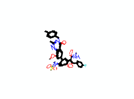 CNC(=O)c1c(-c2ccc(F)cc2)oc2cc(N(C)S(C)(=O)=O)c(-c3cc(OC)c4nc(C)n(Cc5ccc(C)cc5)c(=O)c4c3)cc12